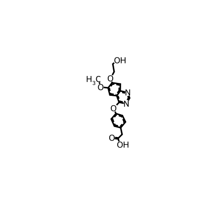 COc1cc2c(Oc3ccc(CC(=O)O)cc3)ncnc2cc1OCCO